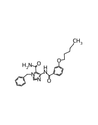 CCCCCCOc1cccc(C(=O)Nc2ncn(Cc3ccccc3)c2C(N)=O)c1